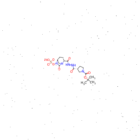 CC(C)(C)OC(=O)N1CC[C@@H](C(=O)NNC(=O)C2CCC3CN2C(=O)N3OS(=O)(=O)O)C1